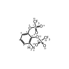 Nc1cccc(OS(=O)(=O)C(F)(F)F)c1OS(=O)(=O)C(F)(F)F